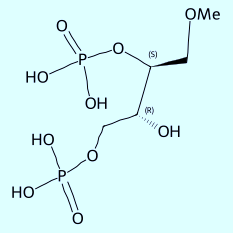 COC[C@H](OP(=O)(O)O)[C@H](O)COP(=O)(O)O